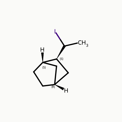 CC(I)[C@H]1C[C@@H]2CC[C@H]1C2